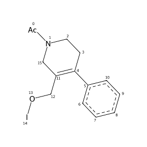 CC(=O)N1CCC(c2ccccc2)=C(COI)C1